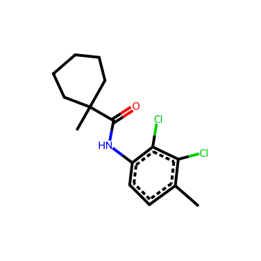 Cc1ccc(NC(=O)C2(C)CCCCC2)c(Cl)c1Cl